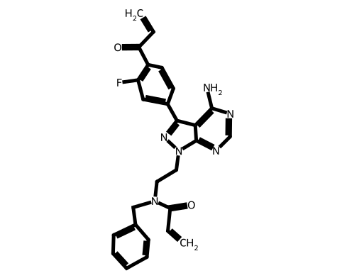 C=CC(=O)c1ccc(-c2nn(CCN(Cc3ccccc3)C(=O)C=C)c3ncnc(N)c23)cc1F